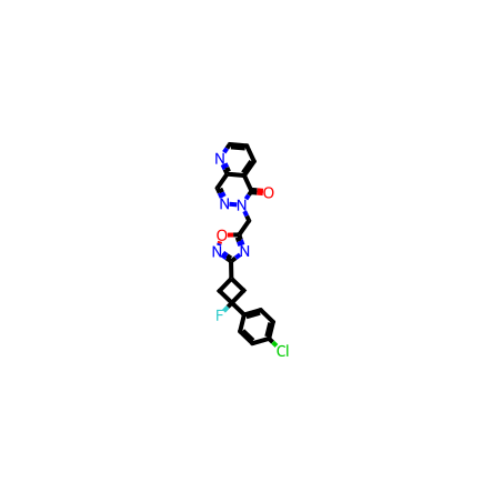 O=c1c2cccnc2cnn1Cc1nc(C2CC(F)(c3ccc(Cl)cc3)C2)no1